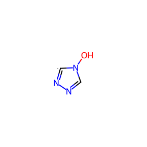 On1[c]nnc1